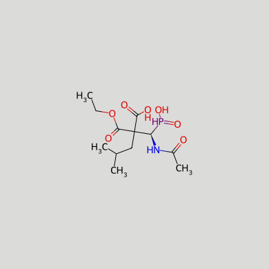 CCOC(=O)C(CC(C)C)(C(=O)O)[C@H](NC(C)=O)[PH](=O)O